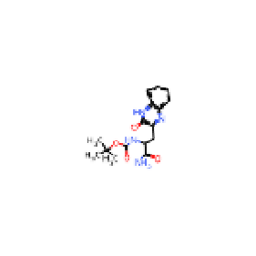 CC(C)(C)OC(=O)NC(Cc1nc2ccccc2[nH]c1=O)C(N)=O